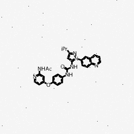 CC(=O)Nc1cc(Oc2ccc(NC(=O)Nc3cc(C(C)C)nn3-c3ccc4ncccc4c3)cc2)ccn1